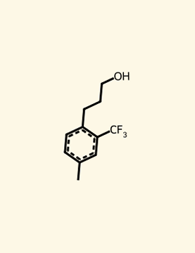 Cc1ccc(CCCO)c(C(F)(F)F)c1